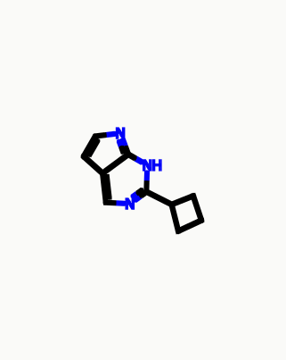 c1cc2cnc(C3CCC3)[nH]c-2n1